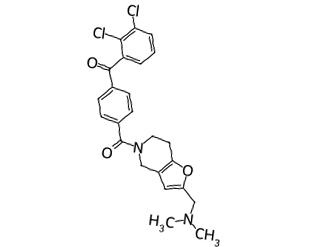 CN(C)Cc1cc2c(o1)CCN(C(=O)c1ccc(C(=O)c3cccc(Cl)c3Cl)cc1)C2